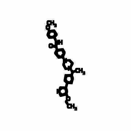 CCOc1cncc(-c2ccc(C(C)N3CCN(c4ccc(C(=O)Nc5ccc(OC)cc5)cc4)CC3)cc2)c1